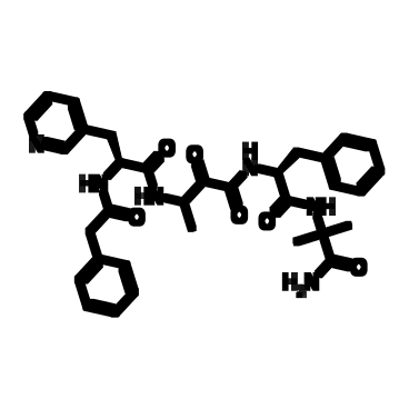 CC(NC(=O)[C@H](Cc1cccnc1)NC(=O)Cc1ccccc1)C(=O)C(=O)N[C@@H](Cc1ccccc1)C(=O)NC(C)(C)C(N)=O